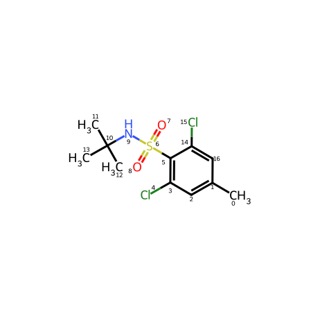 Cc1cc(Cl)c(S(=O)(=O)NC(C)(C)C)c(Cl)c1